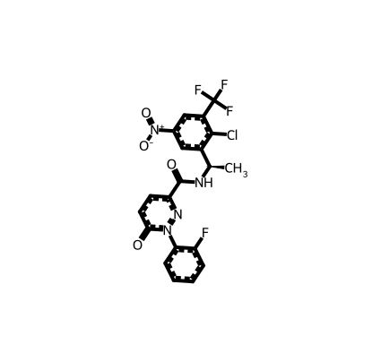 C[C@@H](NC(=O)c1ccc(=O)n(-c2ccccc2F)n1)c1cc([N+](=O)[O-])cc(C(F)(F)F)c1Cl